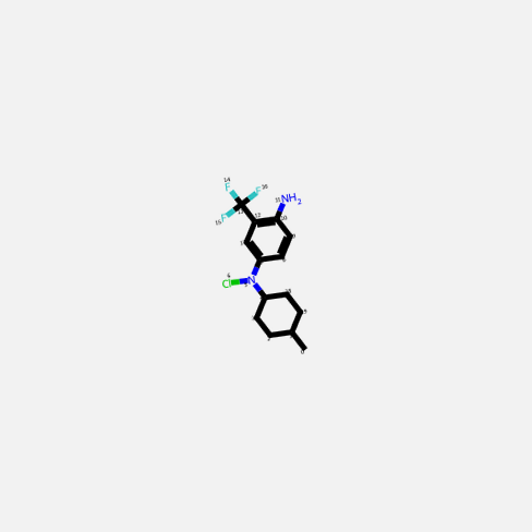 CC1CCC(N(Cl)c2ccc(N)c(C(F)(F)F)c2)CC1